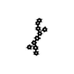 CC1CC(c2ccc3c(c2)c2ccc(-c4ccccc4)cc2n3-c2ccccc2)=CC=C1c1ccc2c(c1)c1ccc(-c3ccc4ccccc4c3)cc1n2-c1ccccc1